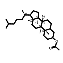 CC(=O)OC1CC[C@@]2(C)C(CC[C@@H]3[C@@H]2CC[C@]2(C)C([C@H](C)CCCC(C)C)CC[C@@H]32)C1